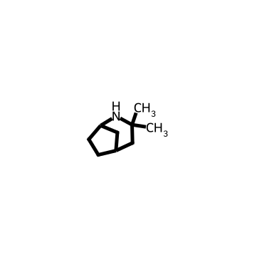 CC1(C)CC2CCC(C2)N1